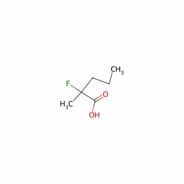 CCCC(C)(F)C(=O)O